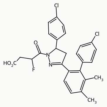 Cc1ccc(C2=NN(C(=O)C(F)CC(=O)O)C(c3ccc(Cl)cc3)C2)c(-c2ccc(Cl)cc2)c1C